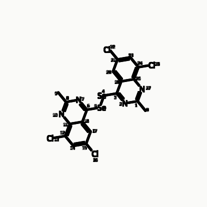 Cc1nc([Se][Se]c2nc(C)nc3c(Cl)cc(Cl)cc23)c2cc(Cl)cc(Cl)c2n1